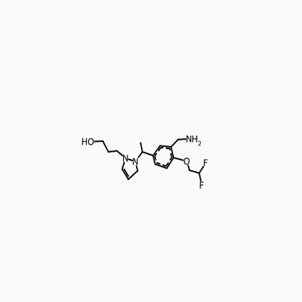 CC(c1ccc(OCC(F)F)c(CN)c1)N1CC=CN1CCCO